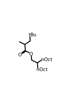 CCCCCCCCC(CCCCCCCC)COC(=O)C(C)CC(C)(C)C